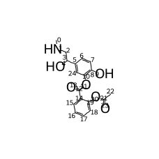 CNCC(O)c1ccc(O)c(OC(=O)c2ccccc2OC(C)=O)c1